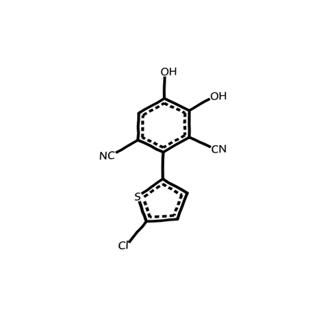 N#Cc1cc(O)c(O)c(C#N)c1-c1ccc(Cl)s1